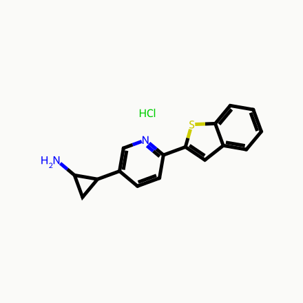 Cl.NC1CC1c1ccc(-c2cc3ccccc3s2)nc1